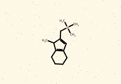 CC1C(C[Si](C)(C)C)=CC2=C1CCCC2